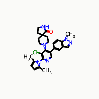 Cc1ccc(C)n1-c1ncc(-c2ccc3c(cnn3C)c2)c(N2CCC3(CCNC3=O)CC2)c1Cl